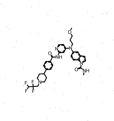 CNC(=O)n1ccc2cc(N(CCCOC)c3ccnc(NC(=O)c4ccc(C5CCN(CC(F)(F)C(F)F)CC5)cc4)c3)ccc21